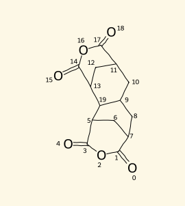 O=C1OC(=O)C2CC1CC1CC3CC(C(=O)OC3=O)C12